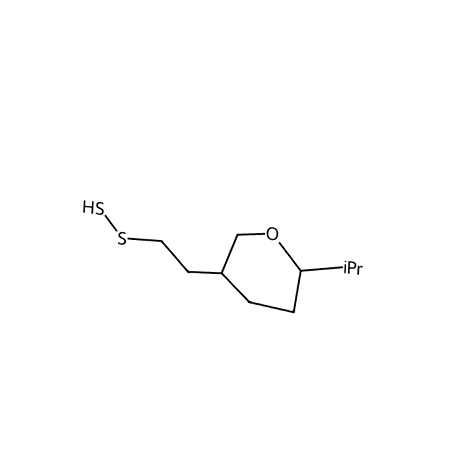 CC(C)C1CCC(CCSS)CO1